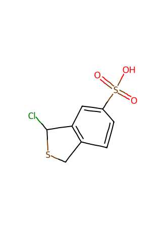 O=S(=O)(O)c1ccc2c(c1)C(Cl)SC2